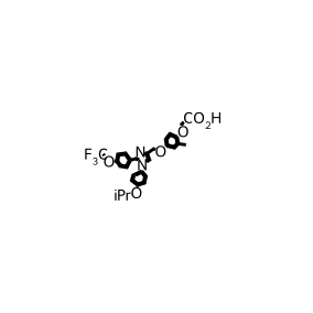 Cc1cc(OCc2cn(-c3ccc(OC(C)C)cc3)c(-c3ccc(OC(F)(F)F)cc3)n2)ccc1OCC(=O)O